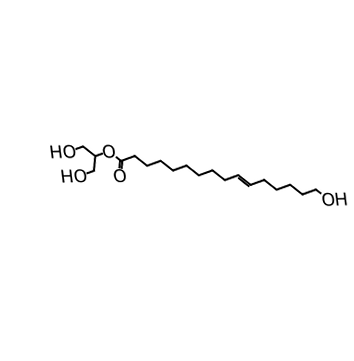 O=C(CCCCCCCC/C=C/CCCCCO)OC(CO)CO